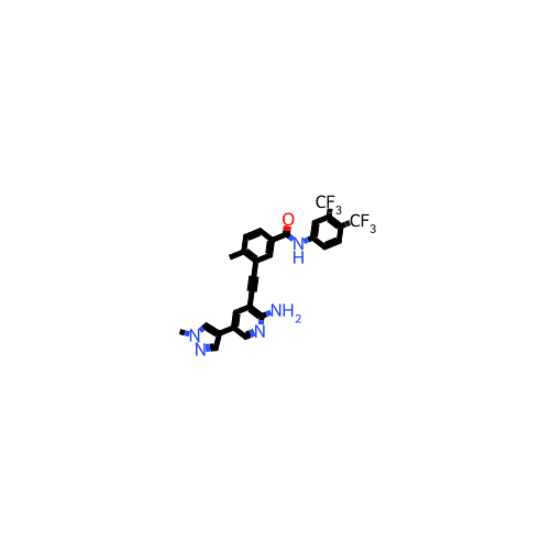 Cc1ccc(C(=O)Nc2ccc(C(F)(F)F)c(C(F)(F)F)c2)cc1C#Cc1cc(-c2cnn(C)c2)cnc1N